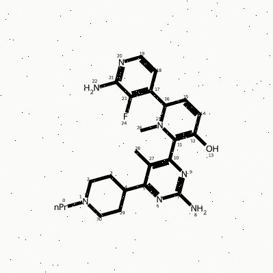 CCCN1CCC(c2nc(N)nc(C3=C(O)C=CC(c4ccnc(N)c4F)N3C)c2C)CC1